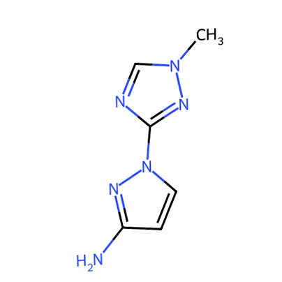 Cn1cnc(-n2ccc(N)n2)n1